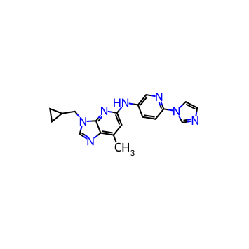 Cc1cc(Nc2ccc(-n3ccnc3)nc2)nc2c1ncn2CC1CC1